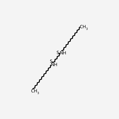 CCCCCCCCCCCCCCCCCCNC(=S)CCCCCC(=S)NCCCCCCCCCCCCCCCCCC